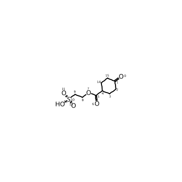 O=C1CCC(C(=O)OCCS(=O)(=O)O)CC1